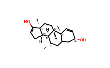 C[C@H]1CC2C[C@@H](O)C=C[C@]2(C)[C@H]2CC[C@]3(C)C(O)=CC[C@H]3[C@H]12